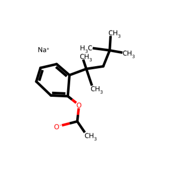 CC([O-])Oc1ccccc1C(C)(C)CC(C)(C)C.[Na+]